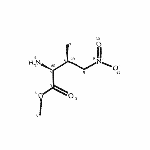 COC(=O)[C@@H](N)[C@@H](C)C[N+](=O)[O-]